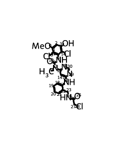 COc1cc(O)c(Cl)c(NC(=O)N(C)c2cc(Nc3ccccc3CNC(=O)CCl)ncn2)c1Cl